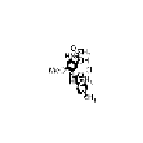 COc1cc(NS(C)(=O)=O)c(O)cc1NC(=O)C[N+]1(C)CCN(C)CC1.[Cl-]